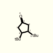 CC(C)(C)C1CC(=O)CC1C(C)(C)C